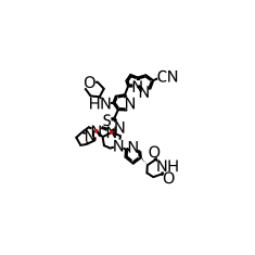 N#Cc1cnn2c(-c3cc(NC4CCOCC4)c(-c4nnc(N5CC6CCC(C5)N6CC5CCN(c6ccc([C@H]7CCC(=O)NC7=O)cn6)CC5)s4)cn3)ccc2c1